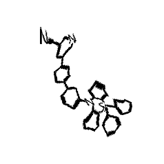 N#Cc1cncc(-c2ccc(-c3cccc(N4c5ccccc5[Si](c5ccccc5)(c5ccccc5)c5ccccc54)c3)cc2)c1